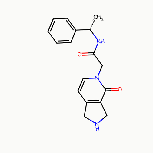 C[C@H](NC(=O)Cn1ccc2c(c1=O)CNC2)c1ccccc1